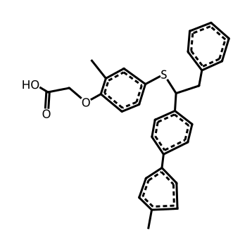 Cc1ccc(-c2ccc(C(Cc3ccccc3)Sc3ccc(OCC(=O)O)c(C)c3)cc2)cc1